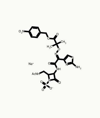 CC(=O)NCC1C(NC(=O)C(=NOC(C)(C)C(=O)OCc2ccc([N+](=O)[O-])cc2)c2csc(N)n2)C(=O)N1S(=O)(=O)[O-].[Na+]